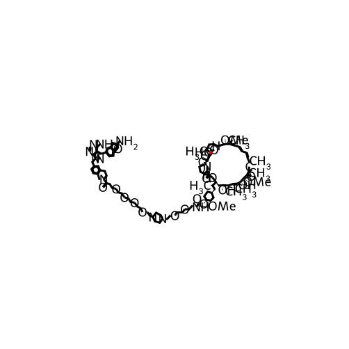 CO[C@H]1C[C@@H]2CC[C@@H](C)[C@@](O)(O2)C(=O)C(=O)N2CCCC[C@H]2C(=O)O[C@H]([C@H](C)C[C@@H]2CC[C@@H](OC(=O)NCCOCCOCCN3CCN(CCOCCOCCOCCOCCC(=O)N4CCc5cc(Cn6nc(-c7ccc8oc(N)cc8c7)c7c(N)ncnc76)ccc5C4)CC3)[C@H](OC)C2)C[C@@H](O)[C@H](C)/C=C(\C)[C@@H](O)[C@@H](OC)C(=O)[C@H](C)C[C@H](C)/C=C/C=C/C=C/1C